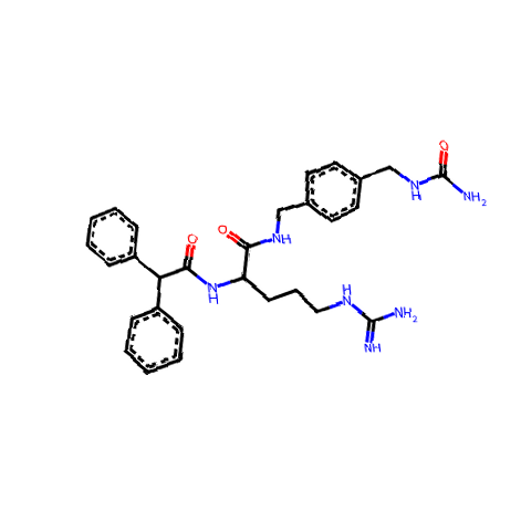 N=C(N)NCCCC(NC(=O)C(c1ccccc1)c1ccccc1)C(=O)NCc1ccc(CNC(N)=O)cc1